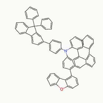 c1ccc(-c2cccc3cccc(-c4ccccc4N(c4ccc(-c5ccc6c(c5)C(c5ccccc5)(c5ccccc5)c5ccccc5-6)cc4)c4ccc(-c5cccc6oc7ccccc7c56)cc4)c23)cc1